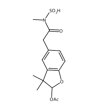 CC(=O)OC1Oc2ccc(CC(=O)N(C)S(=O)(=O)O)cc2C1(C)C